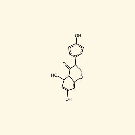 O=C1C(c2ccc(O)cc2)COC2=CC(O)=CC(O)C12